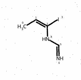 C/C=C(/I)NC=N